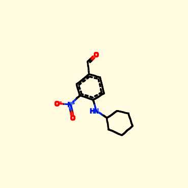 O=Cc1ccc(NC2CCCCC2)c([N+](=O)[O-])c1